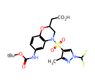 Cc1nn(C(F)F)cc1S(=O)(=O)N1CC(CC(=O)O)Oc2ccc(NC(=O)OC(C)(C)C)cc21